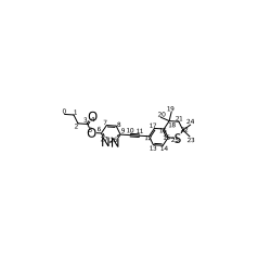 CCCC(=O)Oc1ccc(C#Cc2ccc3c(c2)C(C)(C)CC(C)(C)S3)nn1